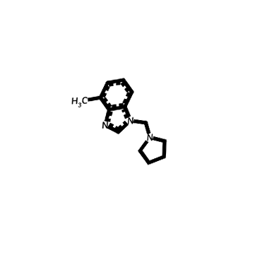 Cc1cccc2c1ncn2CN1CCCC1